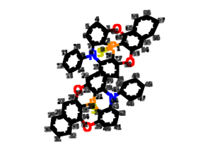 S=P12c3c4cccc3N(c3ccccc3)c3c1c(cc1c5c6c(cc31)Oc1cc3ccccc3c3c1P6(=S)c1c(cccc1N5c1ccccc1)O3)Oc1cc3ccccc3c(c12)O4